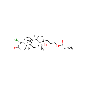 CCC(=O)OCCCC1(O)CC[C@H]2[C@@H]3CCC4=C(Cl)C(=O)CC[C@]4(C)[C@@H]3CC[C@@]21C